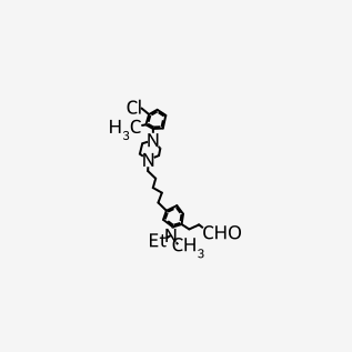 CCN(C)c1cc(CCCCCN2CCN(c3cccc(Cl)c3C)CC2)ccc1CCC=O